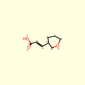 O=C(O)/C=C/C1CCCOC1